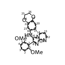 COc1cccc(OC)c1-c1nc2ncccn2c1Nc1ccc2c(c1)OCCO2